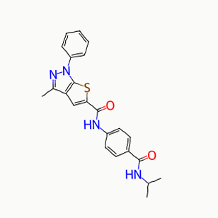 Cc1nn(-c2ccccc2)c2sc(C(=O)Nc3ccc(C(=O)NC(C)C)cc3)cc12